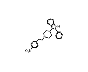 O=[N+]([O-])c1ccc(CCN2CCC(c3c(-c4ccccc4)[nH]c4ccccc34)CC2)cc1